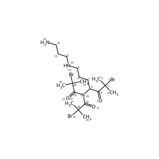 CC(C)(Br)C(=O)C(CCCNCCCN)N(C(=O)C(C)(C)Br)C(=O)C(C)(C)Br